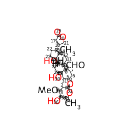 CO[C@H]1C[C@H](O[C@H]2CC[C@]3(C=O)[C@H]4CC[C@]5(C)[C@@H](C6=CC(=O)OC6)CC[C@]5(O)[C@H]4CC[C@]3(O)C2)O[C@H](C)[C@H]1O